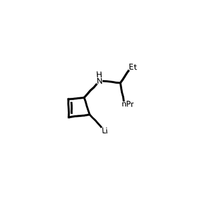 [Li][CH]1C=CC1NC(CC)CCC